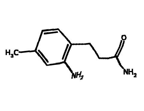 Cc1ccc(CCC(N)=O)c(N)c1